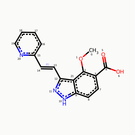 COc1c(C(=O)O)ccc2[nH]nc(/C=C/c3ccccn3)c12